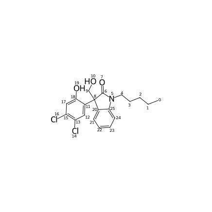 CCCCCN1C(=O)C(CO)(c2cc(Cl)c(Cl)cc2O)c2ccccc21